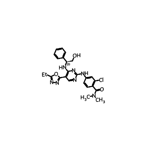 CCc1nnc(-c2cnc(Nc3ccc(C(=O)N(C)C)c(Cl)c3)nc2N[C@H](CO)c2ccccc2)o1